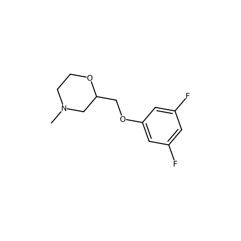 CN1CCOC(COc2cc(F)cc(F)c2)C1